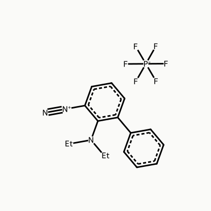 CCN(CC)c1c([N+]#N)cccc1-c1ccccc1.F[P-](F)(F)(F)(F)F